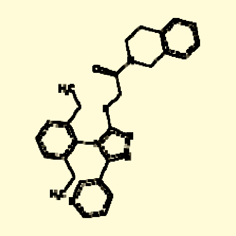 CCc1cccc(CC)c1-n1c(SCC(=O)N2CCc3ccccc3C2)nnc1-c1cccnc1